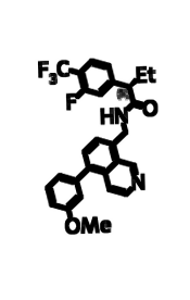 CC[C@@H](C(=O)NCc1ccc(-c2cccc(OC)c2)c2ccncc12)c1ccc(C(F)(F)F)c(F)c1